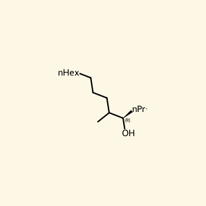 CC[CH][C@@H](O)C(C)CCCCCCCCC